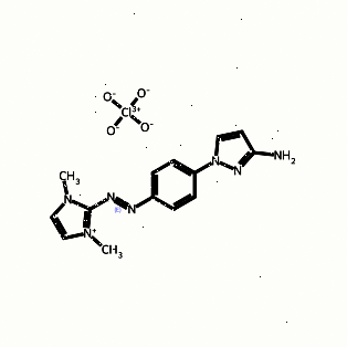 Cn1cc[n+](C)c1/N=N/c1ccc(-n2ccc(N)n2)cc1.[O-][Cl+3]([O-])([O-])[O-]